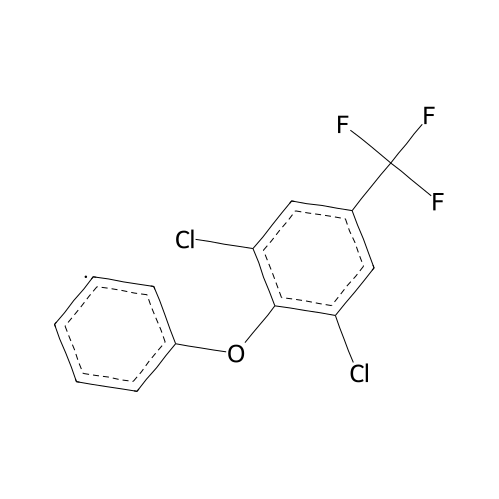 FC(F)(F)c1cc(Cl)c(Oc2c[c]ccc2)c(Cl)c1